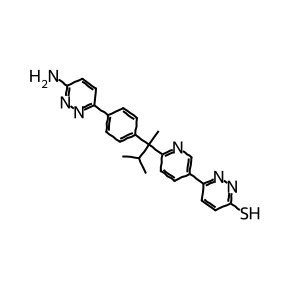 CC(C)C(C)(c1ccc(-c2ccc(N)nn2)cc1)c1ccc(-c2ccc(S)nn2)cn1